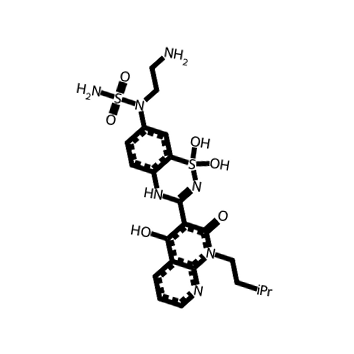 CC(C)CCn1c(=O)c(C2=NS(O)(O)c3cc(N(CCN)S(N)(=O)=O)ccc3N2)c(O)c2cccnc21